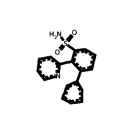 NS(=O)(=O)c1cccc(-c2ccccc2)c1-c1ccccn1